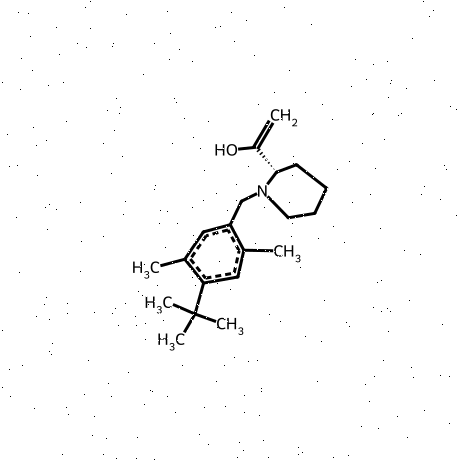 C=C(O)[C@@H]1CCCCN1Cc1cc(C)c(C(C)(C)C)cc1C